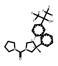 C[C@@]1(c2ccccc2)CN(C(=O)N2CCCC2)C[C@@H]1c1ccc(C(O)(C(F)(F)F)C(F)(F)F)cc1